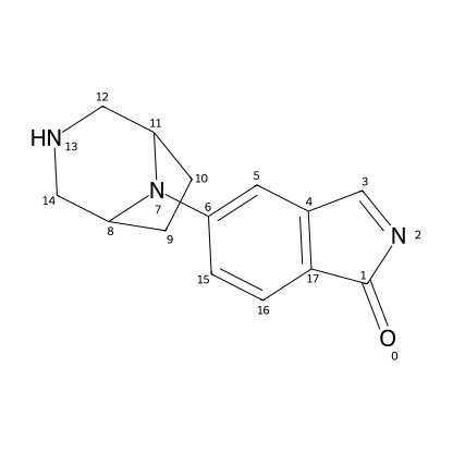 O=C1N=Cc2cc(N3C4CCC3CNC4)ccc21